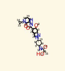 COc1cc2nn(C3CCC(N(C)C(=O)[C@H](C)O)CC3)cc2cc1C(=O)Nc1cccn(C2CC2)c1=O